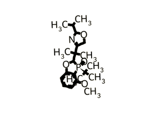 COc1cccc2c1[P@](=O)(C(C)(C)C)C(C(C)(C)C1=NC(C(C)C)OC1)O2